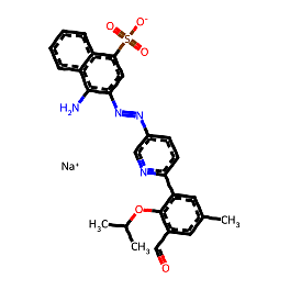 Cc1cc(C=O)c(OC(C)C)c(-c2ccc(N=Nc3cc(S(=O)(=O)[O-])c4ccccc4c3N)cn2)c1.[Na+]